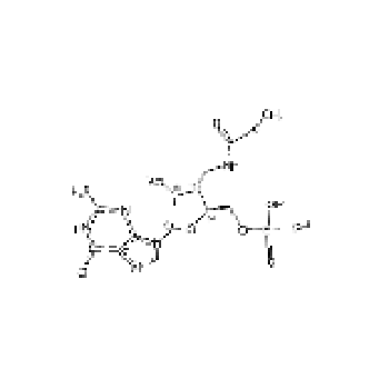 COC(=O)NC[C@H]1[C@@H](O)[C@H](n2cnc3c(=O)[nH]c(N)nc32)O[C@@H]1COP(=O)(O)O